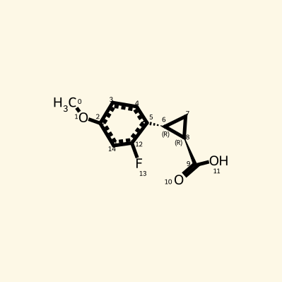 COc1ccc([C@@H]2C[C@H]2C(=O)O)c(F)c1